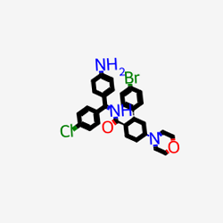 NC1=CC=C(C(NC(=O)[C@@H]2CC[C@@H](N3CCOCC3)C[C@H]2c2ccc(Br)cc2)c2ccc(Cl)cc2)CC1